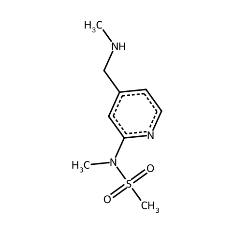 CNCc1ccnc(N(C)S(C)(=O)=O)c1